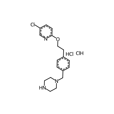 Cl.Cl.Clc1ccc(OCCc2ccc(CN3CCNCC3)cc2)nc1